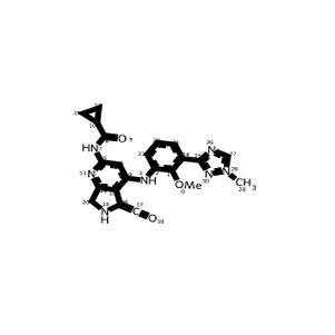 COc1c(Nc2cc(NC(=O)C3CC3)nc3c2C(=C=O)NC3)cccc1-c1ncn(C)n1